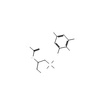 CCCC(=O)NC(CC(=O)O)C[N+](C)(C)C.O=[N+]([O-])c1cc([N+](=O)[O-])c([O-])c([N+](=O)[O-])c1